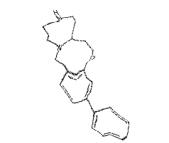 c1ccc(-c2ccc3c(c2)OCC2CNCCN2C3)cc1